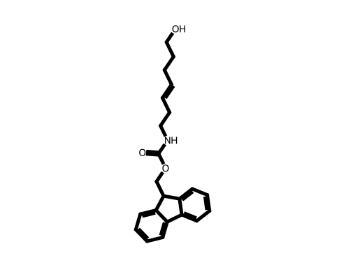 O=C(NCCC=CCCCO)OCC1c2ccccc2-c2ccccc21